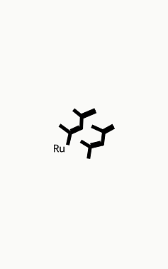 C=C(C)C=C(C)C.C=C(C)C=C(C)C.[Ru]